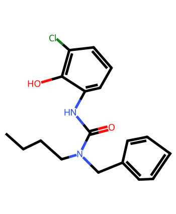 CCCCN(Cc1ccccc1)C(=O)Nc1cccc(Cl)c1O